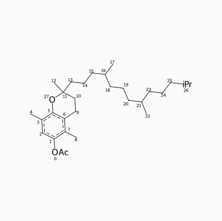 CC(=O)Oc1cc(C)c2c(c1C)CCC(C)(CCCC(C)CCCC(C)CCCC(C)C)O2